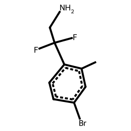 Cc1cc(Br)ccc1C(F)(F)CN